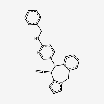 O=C=C1c2cccn2Cc2ccccc2N1c1ccc(NCc2ccccc2)nc1